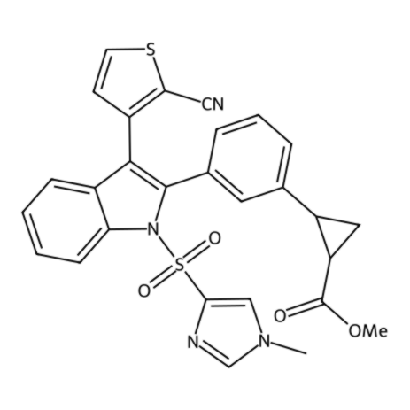 COC(=O)C1CC1c1cccc(-c2c(-c3ccsc3C#N)c3ccccc3n2S(=O)(=O)c2cn(C)cn2)c1